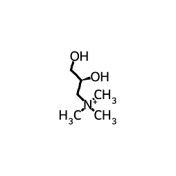 C[N+](C)(C)C[C@H](O)CO